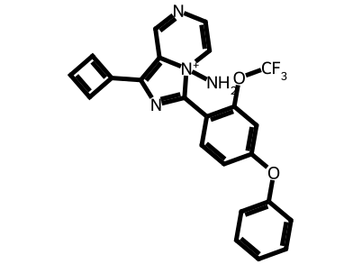 N[N+]12C=CN=CC1=C(C1=CC=C1)N=C2c1ccc(Oc2ccccc2)cc1OC(F)(F)F